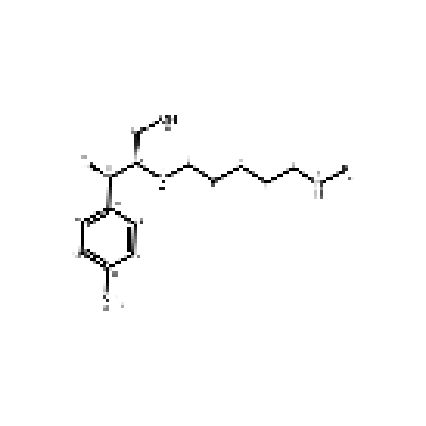 CCNCCCCCN[C@H](CO)[C@H](O)c1ccc([N+](=O)[O-])cc1